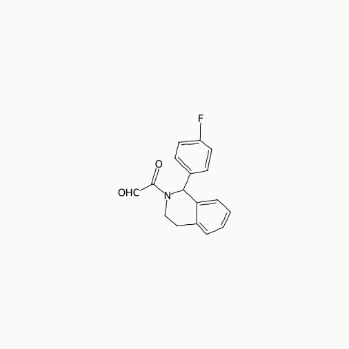 O=CC(=O)N1CCc2ccccc2C1c1ccc(F)cc1